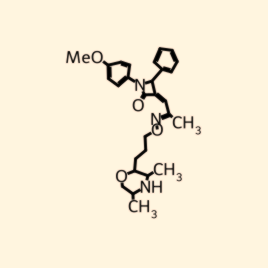 COc1ccc(N2C(=O)C(=CC(C)=NOCCCC3OCC(C)NC3C)C2c2ccccc2)cc1